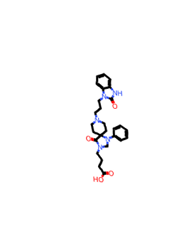 O=C(O)CCCN1CN(c2ccccc2)C2(CCN(CCCn3c(=O)[nH]c4ccccc43)CC2)C1=O